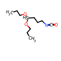 CCCO[SiH](CCCN=C=O)OCCC